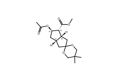 COC(=O)[C@@H]1[C@@H]2CC3(C[C@@H]2C[C@H]1OC(C)=O)OCC(C)(C)CO3